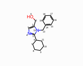 OCc1cnc(C2CCCCC2)n1Cc1ccccc1